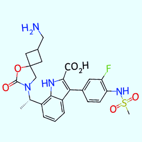 C[C@@H](c1cccc2c(-c3ccc(NS(C)(=O)=O)c(F)c3)c(C(=O)O)[nH]c12)N1CC2(CC(CN)C2)OC1=O